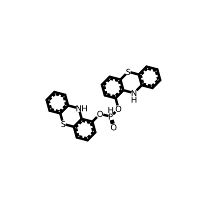 O=[PH](Oc1cccc2c1Nc1ccccc1S2)Oc1cccc2c1Nc1ccccc1S2